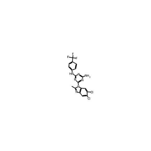 Cc1nc2cc(Cl)c(Cl)cc2n1-c1nc(N)nc(Nc2ccc(C(F)(F)F)cc2)n1